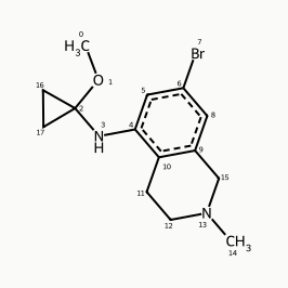 COC1(Nc2cc(Br)cc3c2CCN(C)C3)CC1